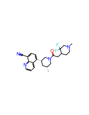 C[C@@H]1C[C@H](c2ccc(C#N)c3ncccc23)CN(C(=O)CC2CCN(C)CC2(F)F)C1